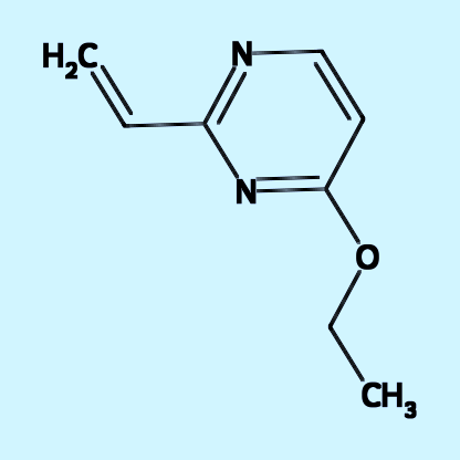 C=Cc1nccc(OCC)n1